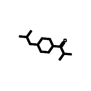 CC(C)CC1CCC(C(=O)C(C)C)CC1